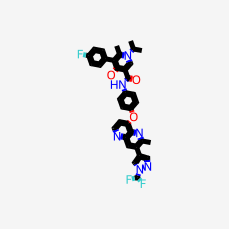 Cc1nc2c(Oc3ccc(NC(=O)c4cn(C(C)C)c(C)c(-c5ccc(F)cc5)c4=O)cc3)ccnc2cc1-c1cnn(C(F)F)c1